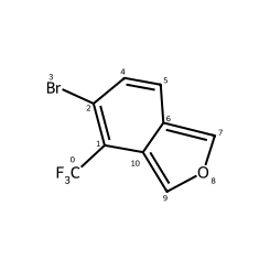 FC(F)(F)c1c(Br)ccc2cocc12